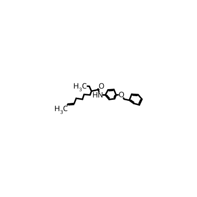 C/C=C/CCCCC(CC)C(=O)Nc1ccc(OCc2ccccc2)cc1